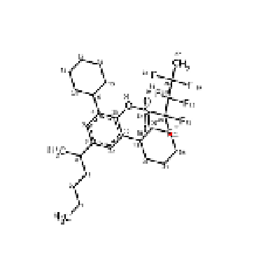 CCCCC(C)c1cc(C2CCCCC2)c(OS(=O)(=O)C(F)(F)C(F)(F)C(C)(F)F)c(C2CCCCC2)c1